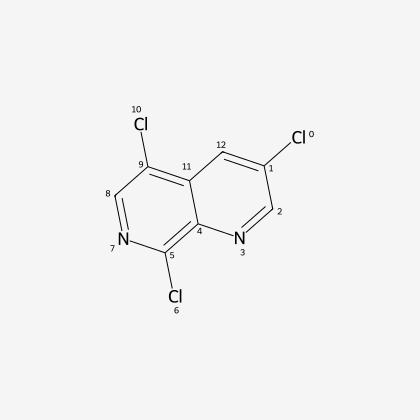 Clc1cnc2c(Cl)ncc(Cl)c2c1